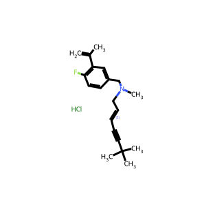 C=C(C)c1cc(CN(C)C/C=C/C#CC(C)(C)C)ccc1F.Cl